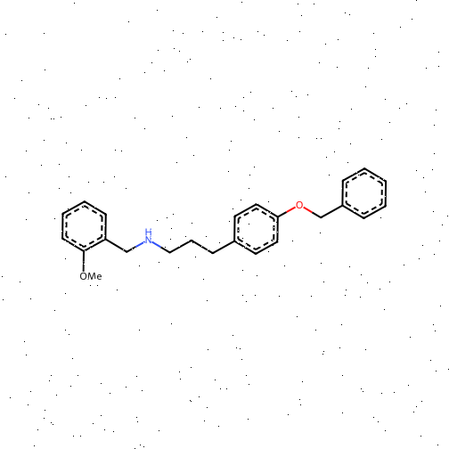 COc1ccccc1CNCCCc1ccc(OCc2ccccc2)cc1